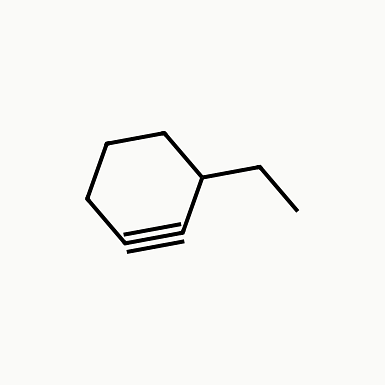 CCC1C#CCCC1